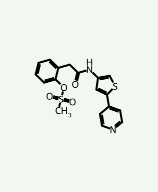 CS(=O)(=O)Oc1ccccc1CC(=O)Nc1csc(-c2ccncc2)c1